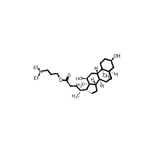 CCN(CC)CCCOC(=O)CC[C@@H](C)[C@H]1CC[C@H]2[C@@H]3CC[C@@H]4C[C@H](O)CC[C@]4(C)[C@H]3C[C@H](O)[C@]12C